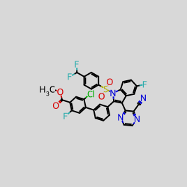 COC(=O)c1cc(Cl)c(-c2cccc(-c3c(-c4nccnc4C#N)c4cc(F)ccc4n3S(=O)(=O)c3ccc(C(F)F)cc3)c2)cc1F